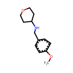 FC(F)(F)Oc1ccc(CNC2CCOCC2)cc1